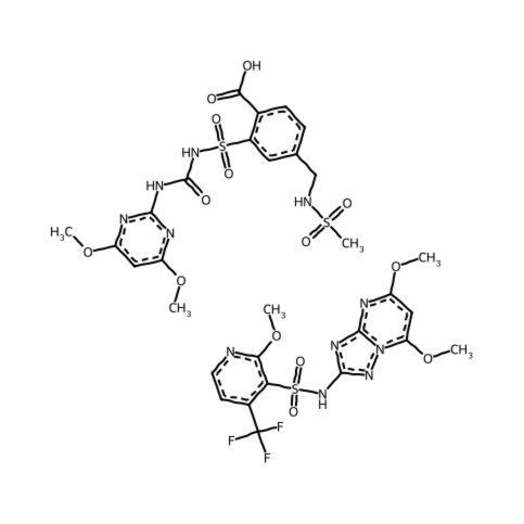 COc1cc(OC)n2nc(NS(=O)(=O)c3c(C(F)(F)F)ccnc3OC)nc2n1.COc1cc(OC)nc(NC(=O)NS(=O)(=O)c2cc(CNS(C)(=O)=O)ccc2C(=O)O)n1